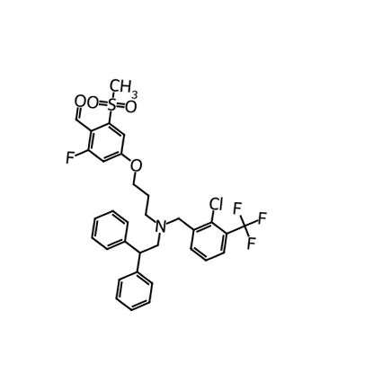 CS(=O)(=O)c1cc(OCCCN(Cc2cccc(C(F)(F)F)c2Cl)CC(c2ccccc2)c2ccccc2)cc(F)c1C=O